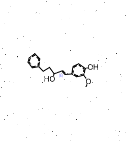 COc1cc(/C=C/C(O)CCc2ccccc2)ccc1O